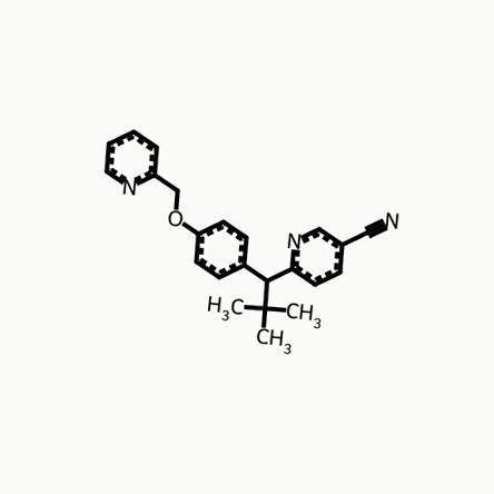 CC(C)(C)C(c1ccc(OCc2ccccn2)cc1)c1ccc(C#N)cn1